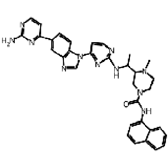 CC(Nc1nccc(-n2cnc3cc(-c4ccnc(N)n4)ccc32)n1)C1CN(C(=O)Nc2cccc3ccccc23)CCN1C